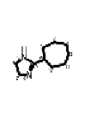 C1CCCC(C2=NCCN2)CC1